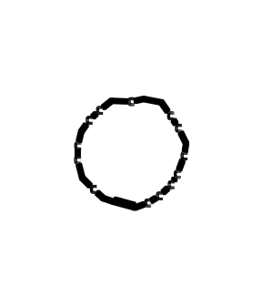 [CH]1C=CCCCCCCCCCCCCCCCCCCC1